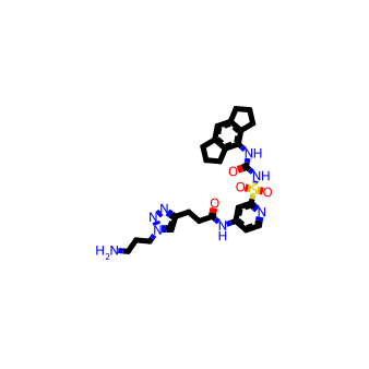 NCCCn1cc(CCC(=O)Nc2ccnc(S(=O)(=O)NC(=O)Nc3c4c(cc5c3CCC5)CCC4)c2)nn1